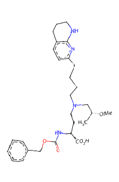 CO[C@H](C)CN(CCCCc1ccc2c(n1)NCCC2)CCC(NC(=O)OCc1ccccc1)C(=O)O